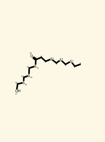 CCSCSCSCCC(=O)SCSCSCO